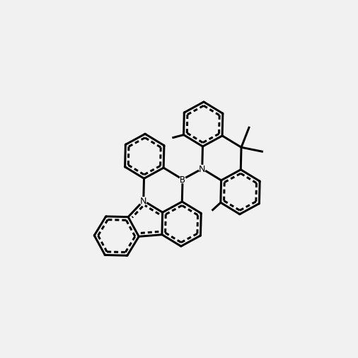 Cc1cccc2c1N(B1c3ccccc3-n3c4ccccc4c4cccc1c43)c1c(C)cccc1C2(C)C